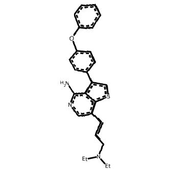 CCN(CC)C/C=C/c1cnc(N)c2c(-c3ccc(Oc4ccccc4)cc3)csc12